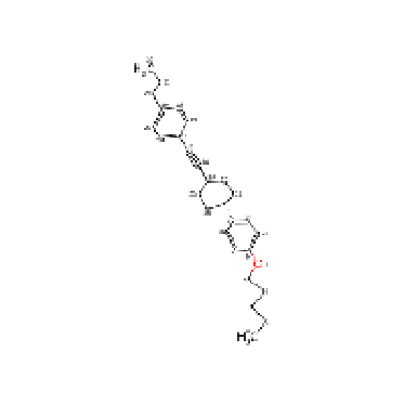 CCCCCOc1ccc([C@H]2CC[C@H](C#Cc3ccc(CCC)cc3)CC2)cc1